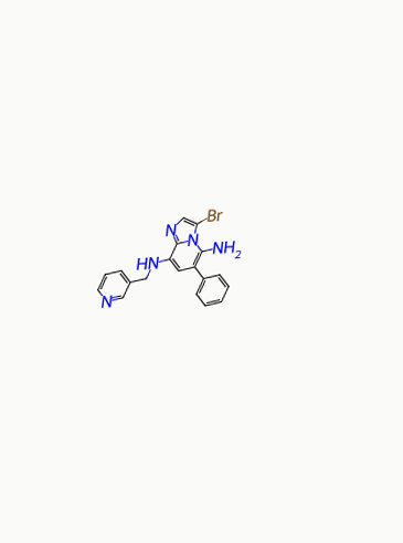 Nc1c(-c2ccccc2)cc(NCc2cccnc2)c2ncc(Br)n12